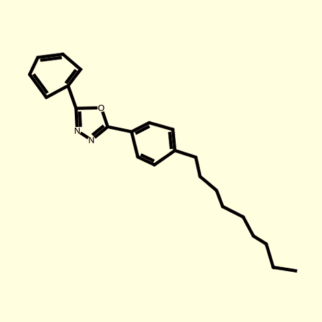 CCCCCCCCCc1ccc(-c2nnc(-c3ccccc3)o2)cc1